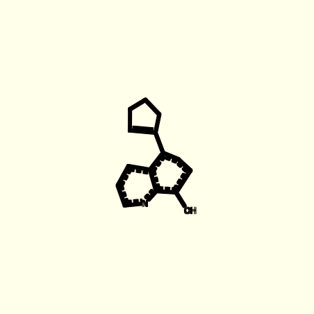 Oc1ccc(C2=CCCC2)c2cccnc12